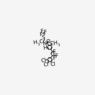 Cc1cc(/C(F)=C/C(c2cc(Cl)c(Cl)c(Cl)c2)C(F)(F)F)ccc1C(=O)NC(C)CSCC(F)(F)F